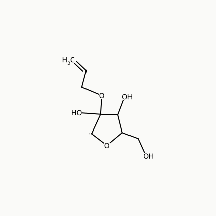 C=CCOC1(O)[CH]OC(CO)C1O